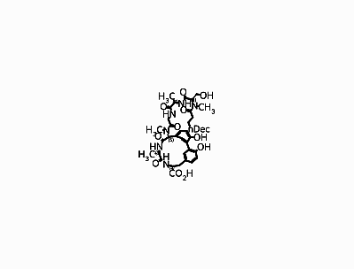 CCCCCCCCCCCCC(=O)N(C)[C@H](CO)C(=O)N[C@H](C)C(=O)NCC(=O)N(C)[C@@H]1C(=O)N[C@@H](C)C(=O)N[C@H](C(=O)O)Cc2ccc(O)c(c2)-c2cc1ccc2O